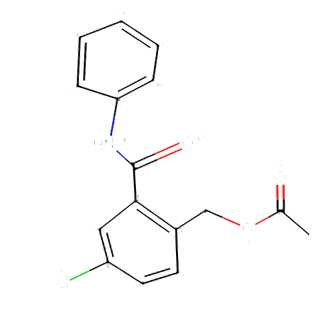 CC(=O)O[CH]c1ccc(Cl)cc1C(=O)Nc1ccccc1